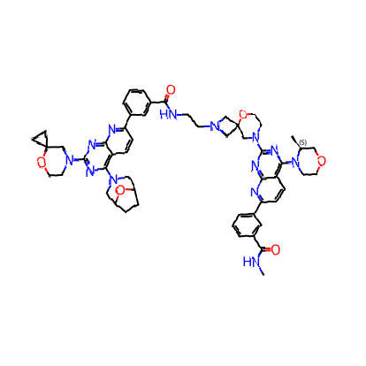 CNC(=O)c1cccc(-c2ccc3c(N4CCOC[C@@H]4C)nc(N4CCOC5(CN(CCNC(=O)c6cccc(-c7ccc8c(N9CC%10CCC(C9)O%10)nc(N9CCOC%10(CC%10)C9)nc8n7)c6)C5)C4)nc3n2)c1